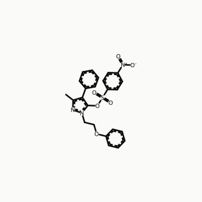 Cc1nn(CCOc2ccccc2)c(OS(=O)(=O)c2ccc([N+](=O)[O-])cc2)c1-c1ccccc1